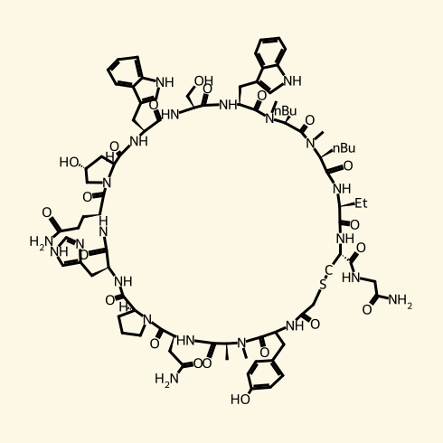 CCCC[C@H]1C(=O)N(C)[C@@H](CCCC)C(=O)N[C@@H](CC)C(=O)N[C@H](C(=O)NCC(N)=O)CSCC(=O)NC(Cc2ccc(O)cc2)C(=O)N(C)[C@@H](C)C(=O)N[C@@H](CC(N)=O)C(=O)N2CCC[C@H]2C(=O)N[C@@H](Cc2c[nH]cn2)C(=O)N[C@@H](CCC(N)=O)C(=O)N2C[C@H](O)C[C@H]2C(=O)N[C@@H](Cc2c[nH]c3ccccc23)C(=O)N[C@@H](CO)C(=O)N[C@@H](Cc2c[nH]c3ccccc23)C(=O)N1C